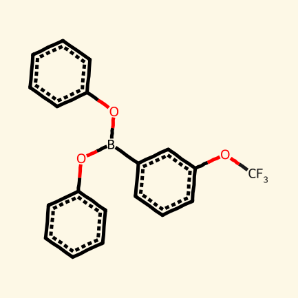 FC(F)(F)Oc1cccc(B(Oc2ccccc2)Oc2ccccc2)c1